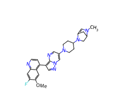 COc1cc2c(-c3cnn4cc(N5CCC(N6CC7CC6=CN7C)CC5)cnc34)ccnc2cc1F